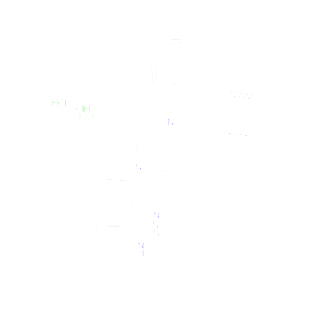 CCc1nc(C(C(C)C)N2CCN(C(c3ccccc3)c3ccccc3)CC2)c(C)[nH]1.Cl.Cl.Cl